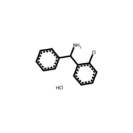 Cl.NC(c1ccccc1)c1ccccc1Cl